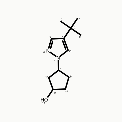 CC(C)(C)c1cnn(C2CCC(O)C2)c1